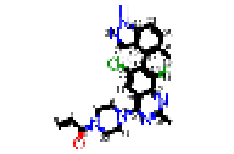 C=CC(=O)N1CCN(c2nc(C)nc3c(F)c(-c4c(C)ccc5[nH]ncc45)c(Cl)cc23)CC1